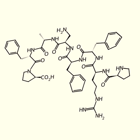 C[C@H](NC(=O)[C@@H](CN)NC(=O)[C@H](Cc1ccccc1)NC(=O)[C@H](Cc1ccccc1)NC(=O)[C@H](CCCNC(=N)N)NC(=O)[C@@H]1CCCN1)C(=O)N[C@@H](Cc1ccccc1)C(=O)N1CCC[C@@H]1C(=O)O